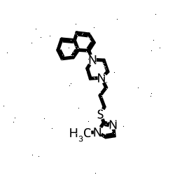 Cn1ccnc1SCCCN1CCN(c2cccc3ccccc23)CC1